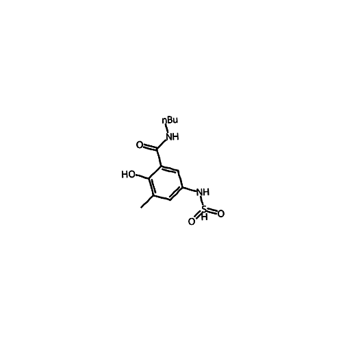 CCCCNC(=O)c1cc(N[SH](=O)=O)cc(C)c1O